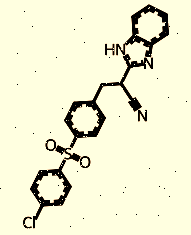 N#CC(Cc1ccc(S(=O)(=O)c2ccc(Cl)cc2)cc1)c1nc2ccccc2[nH]1